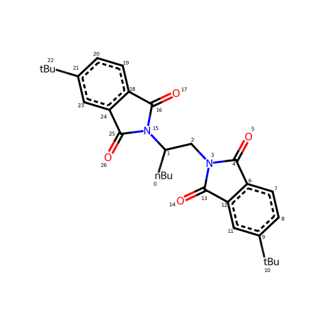 CCCCC(CN1C(=O)c2ccc(C(C)(C)C)cc2C1=O)N1C(=O)c2ccc(C(C)(C)C)cc2C1=O